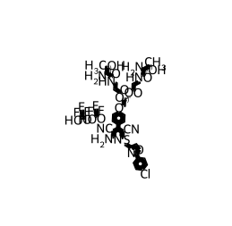 C[C@@H](O)[C@H](N)C(=O)NCCC(=O)OC[C@H](COc1ccc(-c2c(C#N)c(N)nc(SCc3coc(-c4ccc(Cl)cc4)n3)c2C#N)cc1)OC(=O)CCNC(=O)[C@@H](N)[C@@H](C)O.O=C(O)C(F)(F)F.O=C(O)C(F)(F)F